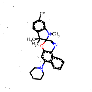 CN1c2cc(C(F)(F)F)ccc2C(C)(C)C12C=Nc1c(cc(N3CCCCC3)c3ccccc13)O2